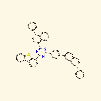 c1ccc(-c2ccc3ccc(-c4ccc(-c5nc(-c6ccc(-c7ccccc7)c7ccccc67)nc(-c6cccc7c6sc6ccccc67)n5)cc4)cc3c2)cc1